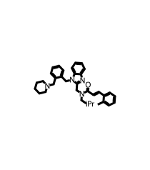 Cc1ccccc1C=CC(=O)N(Cc1nc2ccccc2n1Cc1ccccc1CN1CCCCC1)CC(C)C